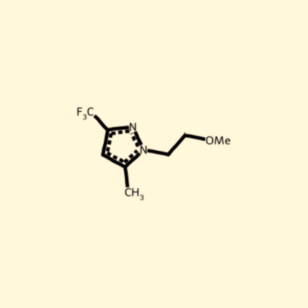 CO[CH]Cn1nc(C(F)(F)F)cc1C